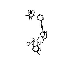 Cc1ccc([N+](=O)[O-])c(N2CCC3(CC2)CC(C#Cc2cccc(-c4nc(C)no4)c2)=NO3)n1